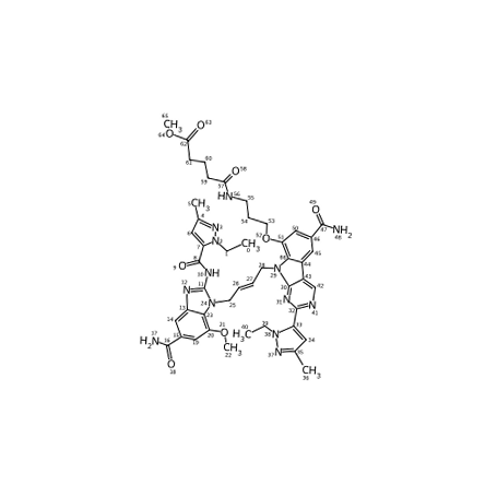 CCn1nc(C)cc1C(=O)Nc1nc2cc(C(N)=O)cc(OC)c2n1CC=CCn1c2nc(-c3cc(C)nn3CC)ncc2c2cc(C(N)=O)cc(OCCCNC(=O)CCCC(=O)OC)c21